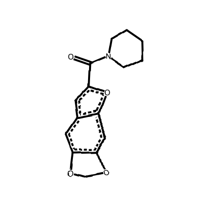 O=C(c1cc2cc3c(cc2o1)OCO3)N1CCCCC1